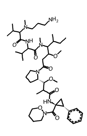 CCC(C)C(C(CC(=O)N1CCC[C@H]1C(OC)C(C)C(=O)N[C@@]1(C(=O)N2CCCCO2)C[C@@H]1c1ccccc1)OC)N(C)C(=O)C(NC(=O)C(C(C)C)N(C)CCCN)C(C)C